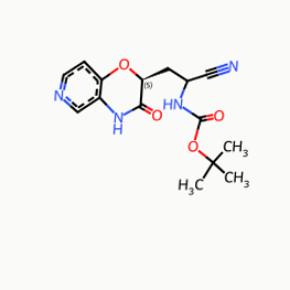 CC(C)(C)OC(=O)NC(C#N)C[C@@H]1Oc2ccncc2NC1=O